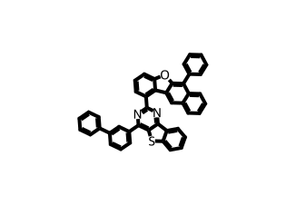 c1ccc(-c2cccc(-c3nc(-c4cccc5oc6c(-c7ccccc7)c7ccccc7cc6c45)nc4c3sc3ccccc34)c2)cc1